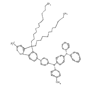 CCCCCCCCCCCCC1(CCCCCCCCCCCC)c2cc(C)ccc2-c2ccc(-c3ccc(N(c4ccc(C)cc4)c4ccc(N(c5ccccc5)c5ccccc5)cc4)cc3)cc21